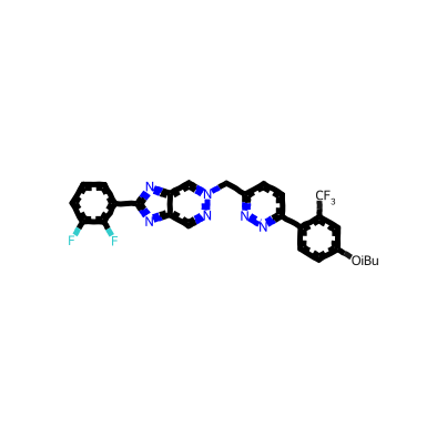 CC(C)COc1ccc(-c2ccc(Cn3cc4nc(-c5cccc(F)c5F)nc-4cn3)nn2)c(C(F)(F)F)c1